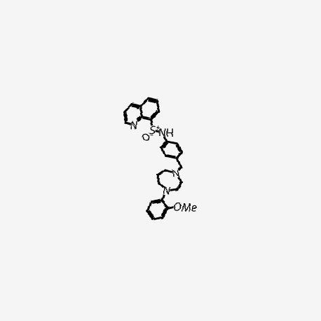 COc1ccccc1N1CCCN(Cc2ccc(N[S+]([O-])c3cccc4cccnc34)cc2)CC1